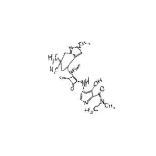 CN(C)C(=O)c1nccc(Nc2c(NC3CC(C)(C)Cc4nn(C)cc43)c(=O)c2=O)c1O